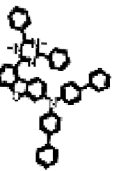 c1ccc(-c2ccc(N(c3ccc(-c4ccccc4)cc3)c3ccc4c(c3)oc3cccc(C5=NC(c6ccccc6)NC(c6ccccc6)N5)c34)cc2)cc1